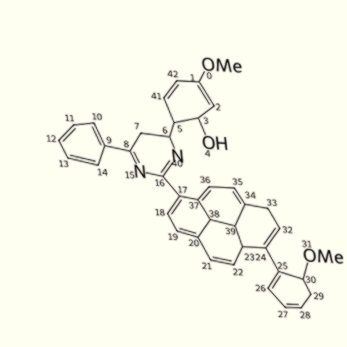 COC1=CC(O)C(C2CC(c3ccccc3)=NC(C3=CC=C4C=CC5C(C6=CC=CCC6OC)=CCC6=CC=C3C4C65)=N2)C=C1